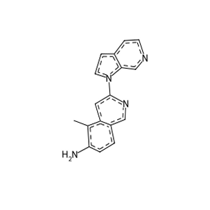 Cc1c(N)ccc2cnc(-n3ccc4ccncc43)cc12